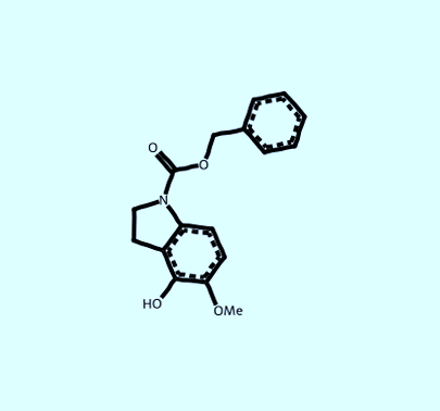 COc1ccc2c(c1O)CCN2C(=O)OCc1ccccc1